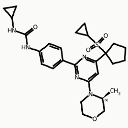 C[C@H]1COCCN1c1cc(C2(S(=O)(=O)C3CC3)CCCC2)nc(-c2ccc(NC(=O)NC3CC3)cc2)n1